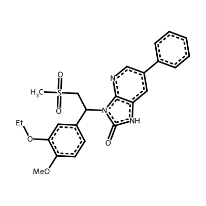 CCOc1cc(C(CS(C)(=O)=O)n2c(=O)[nH]c3cc(-c4ccccc4)cnc32)ccc1OC